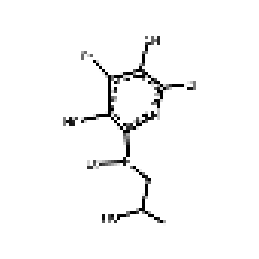 CCc1c(C#N)c(Cl)nc(N(CC)CC(C)O)c1C#N